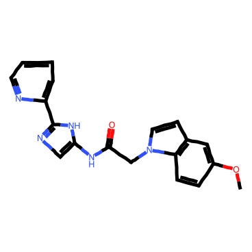 COc1ccc2c(ccn2CC(=O)Nc2cnc(-c3ccccn3)[nH]2)c1